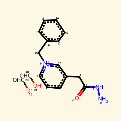 NNC(=O)Cc1ccc[n+](Cc2ccccc2)c1.O=CO.O=C[O-]